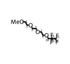 COCCOCCOCCOCC(F)(F)C(F)F